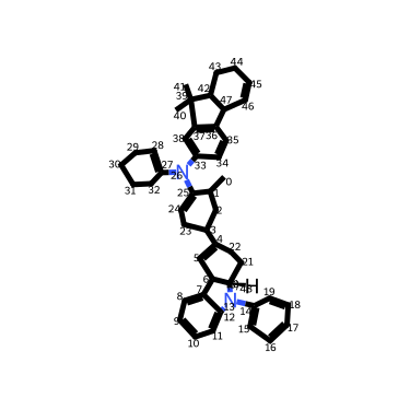 CC1CC(C2=CC3c4ccccc4N(c4ccccc4)[C@H]3CC2)CC=C1N(C1=CCCCC1)c1ccc2c(c1)C(C)(C)C1CCC=CC21